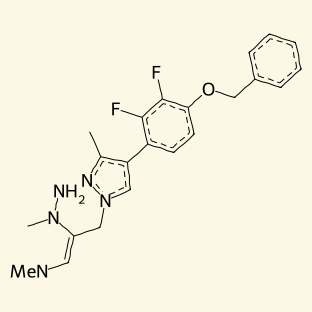 CN/C=C(/Cn1cc(-c2ccc(OCc3ccccc3)c(F)c2F)c(C)n1)N(C)N